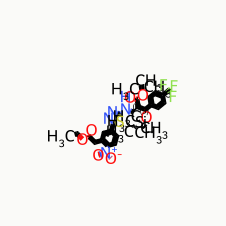 CCOC(=O)Cc1cc(-c2nnc(NC[C@@H](C(=O)OC(C)(C)C)[C@H](O[Si](C)(C)C(C)(C)C)c3ccc(C(F)(F)F)cc3)s2)ccc1[N+](=O)[O-]